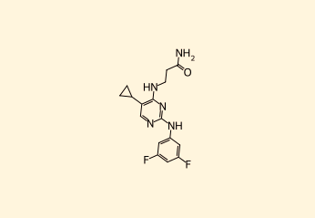 NC(=O)CCNc1nc(Nc2cc(F)cc(F)c2)ncc1C1CC1